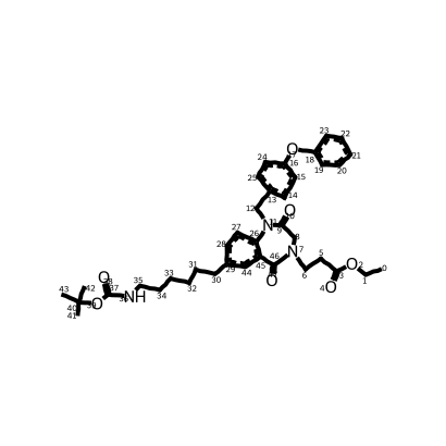 CCOC(=O)CCN1CC(=O)N(Cc2ccc(Oc3ccccc3)cc2)c2ccc(CCCCCCNC(=O)OC(C)(C)C)cc2C1=O